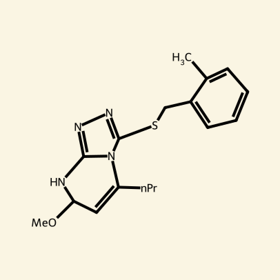 CCCC1=CC(OC)Nc2nnc(SCc3ccccc3C)n21